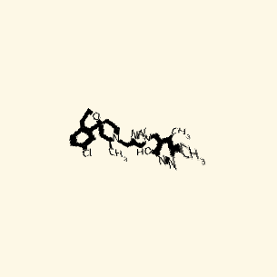 Cc1nnc(O)c(Cn2cc(CN3CC[C@]4(C[C@@H]3C)OCCc3ccc(Cl)cc34)nn2)c1C